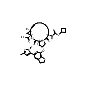 Cc1cc(-c2nc(O[C@@H]3C[C@H]4C(=O)N[C@]5(C(=O)O)C[C@H]5C=CCCCCC[C@H](NC(=O)OC5CCC5)C(=O)N4C3)c3sccc3n2)n(C)n1